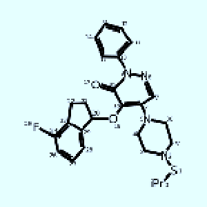 CC(C)SN1CCN(c2cnn(-c3ccccc3)c(=O)c2OC2CCc3c(F)cccc32)CC1